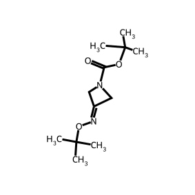 CC(C)(C)ON=C1CN(C(=O)OC(C)(C)C)C1